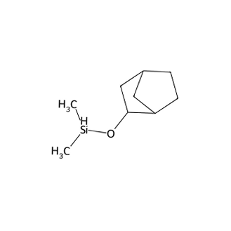 C[SiH](C)OC1CC2CCC1C2